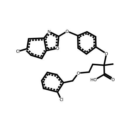 CC(CCOCc1ccccc1Cl)(Oc1ccc(Oc2nc3cc(Cl)ccc3o2)cc1)C(=O)O